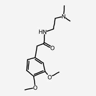 COc1ccc(CC(=O)NCCN(C)C)cc1OC